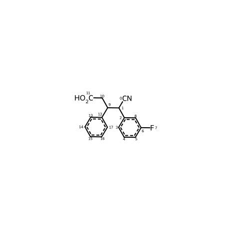 N#CC(c1cccc(F)c1)C(CC(=O)O)c1ccccc1